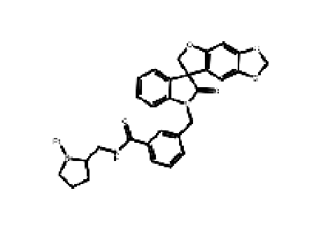 CCN1CCCC1CNC(=O)c1cccc(CN2C(=O)C3(COc4cc5c(cc43)OCO5)c3ccccc32)c1